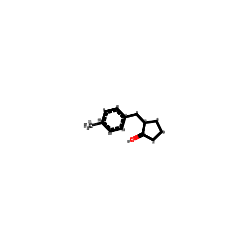 O=C1CCCC1Cc1ccc(C(F)(F)F)cc1